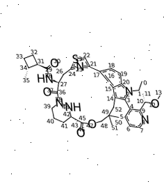 CCn1c(-c2cccnc2[C@H](C)OC)c2c3cc(ccc31)-c1csc(n1)C[C@H](NC(=O)[C@@H]1CC[C@H]1C)C(=O)N1CCC[C@@](C)(N1)C(=O)OCC(C)(C)C2